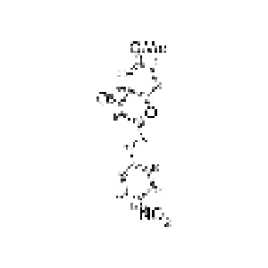 COc1ccc2oc(C=Cc3ccc([N+](=O)[O-])cc3)cc(=O)c2c1